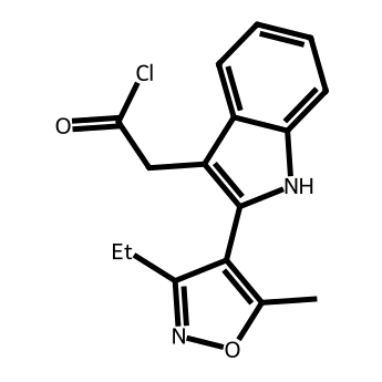 CCc1noc(C)c1-c1[nH]c2ccccc2c1CC(=O)Cl